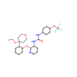 CCOC1(c2ccccc2Oc2ncccc2NC(=O)Nc2ccc(OC(F)(F)F)cc2)CCOCC1